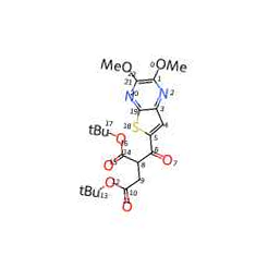 COc1nc2cc(C(=O)C(CC(=O)OC(C)(C)C)C(=O)OC(C)(C)C)sc2nc1OC